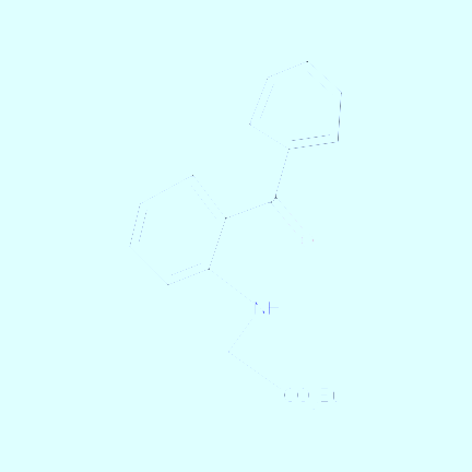 CCOC(=O)CNc1ccccc1C(=O)c1ccccc1